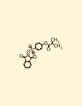 C=C(C)C(=O)Oc1ccc(S(=O)(=O)ON2C(=O)c3ccccc3C2=O)cc1